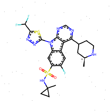 C[C@H]1CC(c2ncnc3c2c2cc(F)c(S(=O)(=O)NC4(C)CC4)cc2n3-c2nnc(C(F)F)s2)CCN1